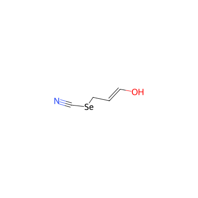 N#C[Se]CC=CO